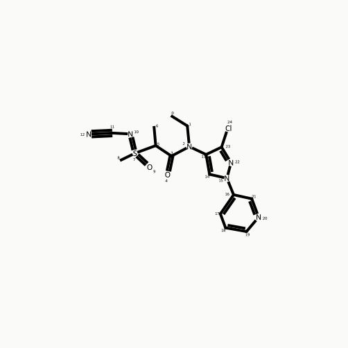 CCN(C(=O)C(C)S(C)(=O)=NC#N)c1cn(-c2cccnc2)nc1Cl